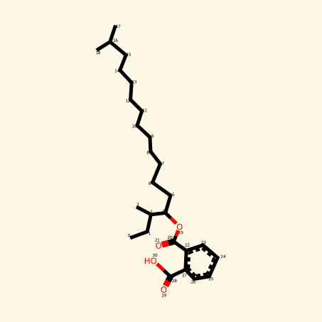 CCC(C)C(CCCCCCCCCCCC(C)C)OC(=O)c1ccccc1C(=O)O